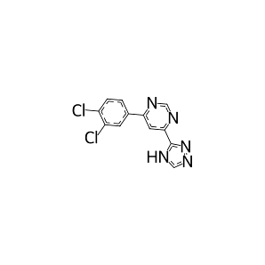 Clc1ccc(-c2cc(-c3nnc[nH]3)ncn2)cc1Cl